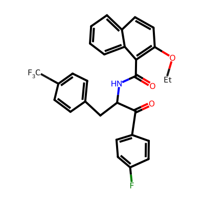 CCOc1ccc2ccccc2c1C(=O)NC(Cc1ccc(C(F)(F)F)cc1)C(=O)c1ccc(F)cc1